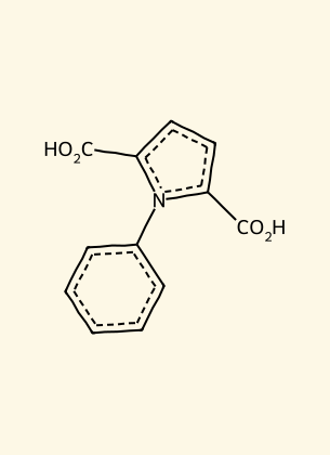 O=C(O)c1ccc(C(=O)O)n1-c1ccccc1